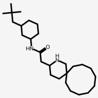 CC(C)(C)CC1CCCC(NC(=O)CC2CCC3(CCCCCCCCC3)CN2)C1